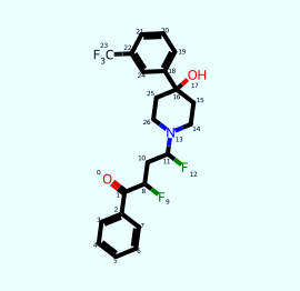 O=C(c1ccccc1)C(F)CC(F)N1CCC(O)(c2cccc(C(F)(F)F)c2)CC1